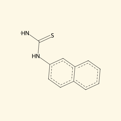 [NH]C(=S)Nc1ccc2ccccc2c1